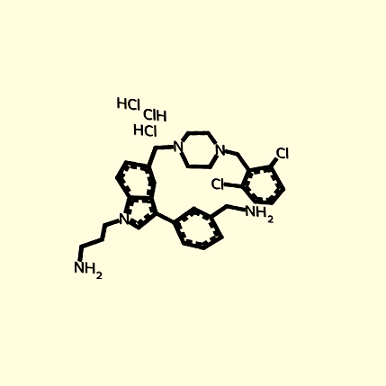 Cl.Cl.Cl.NCCCn1cc(-c2cccc(CN)c2)c2cc(CN3CCN(Cc4c(Cl)cccc4Cl)CC3)ccc21